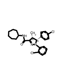 C[C@H]1C(C(=O)NC2CCCCCC2)=NN(c2ccccc2Cl)[C@H]1c1ccc(Cl)cc1